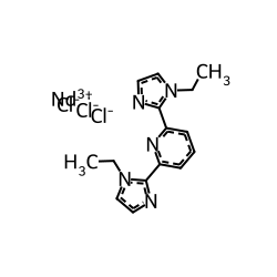 CCn1ccnc1-c1cccc(-c2nccn2CC)n1.[Cl-].[Cl-].[Cl-].[Nd+3]